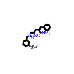 CC(C)(C)c1cccc(Cn2cc(CC(=Cc3ccccc3)C(N)=O)nn2)c1